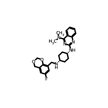 CN(C)c1nc(N[C@H]2CC[C@@H](NCc3cc(F)cc4c3OCOC4)CC2)nc2ccccc12